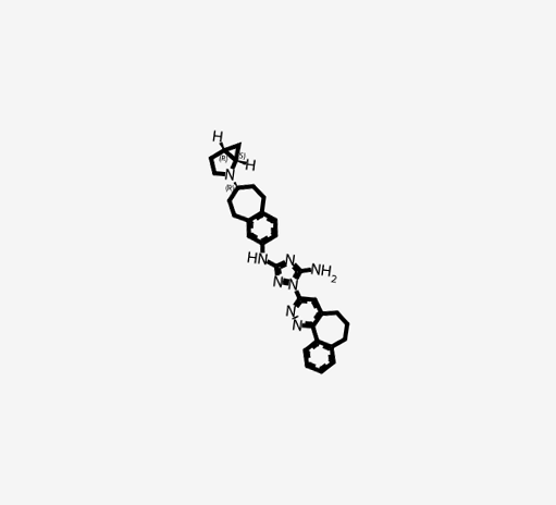 Nc1nc(Nc2ccc3c(c2)CC[C@H](N2CC[C@@H]4C[C@@H]42)CC3)nn1-c1cc2c(nn1)-c1ccccc1CCC2